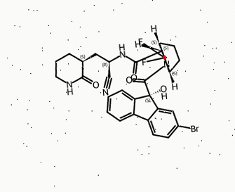 N#C[C@@H](C[C@@H]1CCCNC1=O)NC(=O)[C@@H]1[C@@H]2CC[C@@H](CC2(F)F)N1C(=O)[C@]1(O)c2ccccc2-c2ccc(Br)cc21